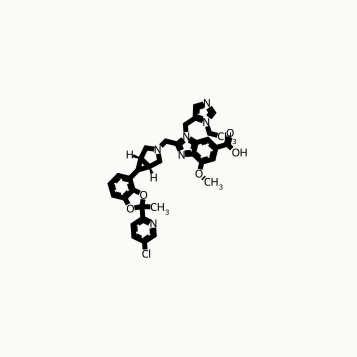 CCn1cncc1Cn1c(CN2C[C@@H]3C(c4cccc5c4OC(C)(c4ccc(Cl)cn4)O5)[C@@H]3C2)nc2c(OC)cc(C(=O)O)cc21